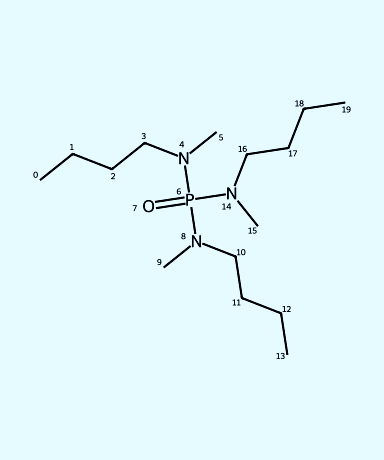 CCCCN(C)P(=O)(N(C)CCCC)N(C)CCCC